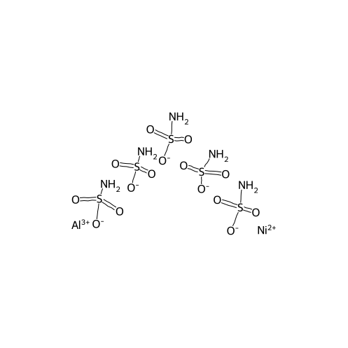 NS(=O)(=O)[O-].NS(=O)(=O)[O-].NS(=O)(=O)[O-].NS(=O)(=O)[O-].NS(=O)(=O)[O-].[Al+3].[Ni+2]